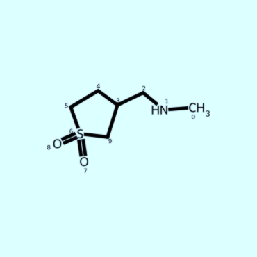 CNCC1CCS(=O)(=O)C1